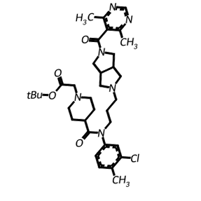 Cc1ccc(N(CCCN2CC3CN(C(=O)c4c(C)ncnc4C)CC3C2)C(=O)C2CCN(CC(=O)OC(C)(C)C)CC2)cc1Cl